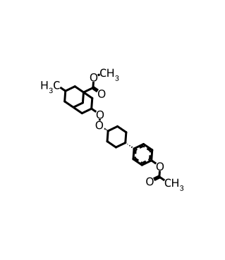 COC(=O)C12CC(C)CC(CC(OO[C@H]3CC[C@@H](c4ccc(OC(C)=O)cc4)CC3)C1)C2